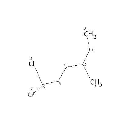 CCC(C)CCC(Cl)Cl